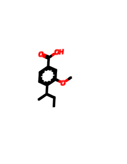 CCC(C)c1ccc(C(=O)O)cc1OC